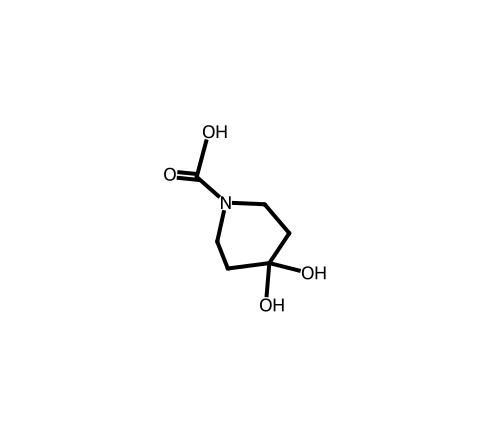 O=C(O)N1CCC(O)(O)CC1